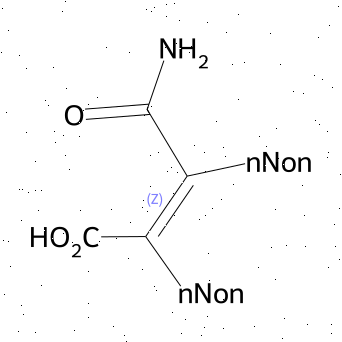 CCCCCCCCC/C(C(N)=O)=C(\CCCCCCCCC)C(=O)O